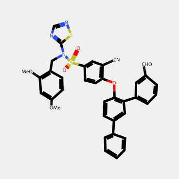 COc1ccc(CN(c2ncns2)S(=O)(=O)c2ccc(Oc3ccc(-c4ccccc4)cc3-c3cccc(C=O)c3)c(C#N)c2)c(OC)c1